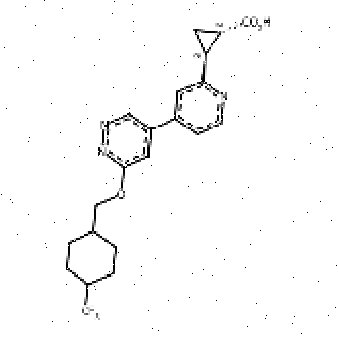 O=C(O)[C@H]1C[C@@H]1c1cc(-c2cnnc(OCC3CCC(C(F)(F)F)CC3)c2)ccn1